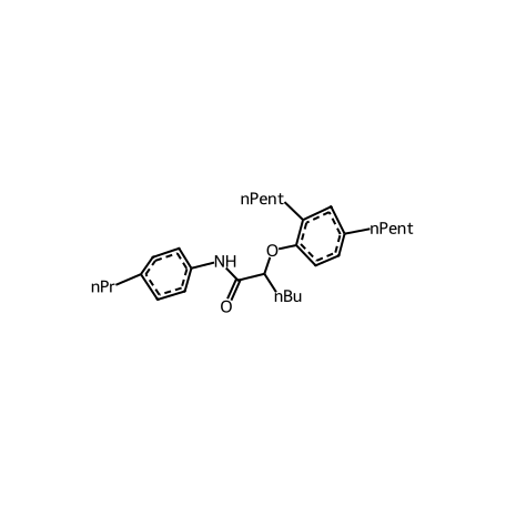 [CH2]CCc1ccc(NC(=O)C(CCCC)Oc2ccc(CCCCC)cc2CCCCC)cc1